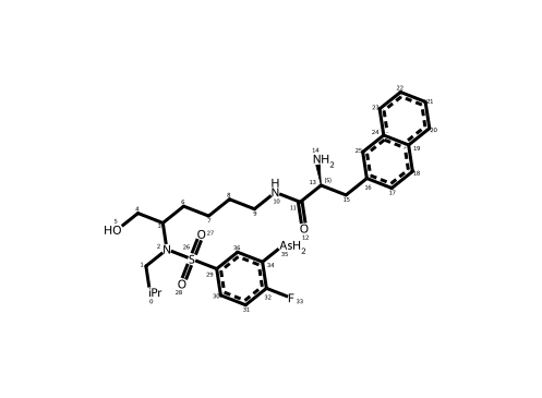 CC(C)CN(C(CO)CCCCNC(=O)[C@@H](N)Cc1ccc2ccccc2c1)S(=O)(=O)c1ccc(F)c([AsH2])c1